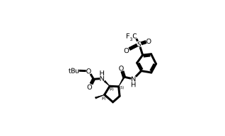 C[C@@H]1CC[C@H](C(=O)Nc2cccc(S(=O)(=O)C(F)(F)F)c2)[C@@H]1NC(=O)OC(C)(C)C